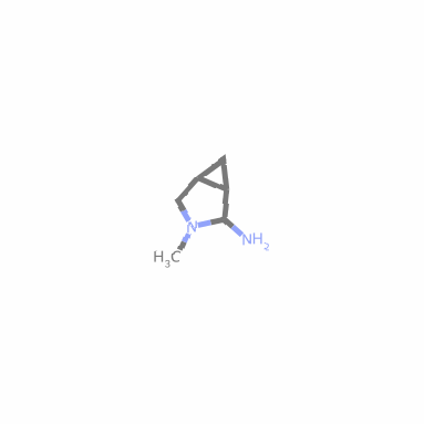 CN1CC2CC2C1N